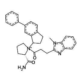 Cn1c(CCC(=O)[N+]2(C3CCc4ccc(-c5ccccc5)cc43)CCC[C@H]2C(N)=O)nc2ccccc21